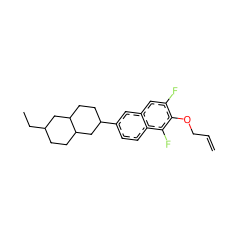 C=CCOc1c(F)cc2cc(C3CCC4CC(CC)CCC4C3)ccc2c1F